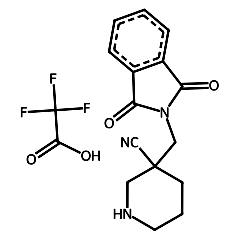 N#CC1(CN2C(=O)c3ccccc3C2=O)CCCNC1.O=C(O)C(F)(F)F